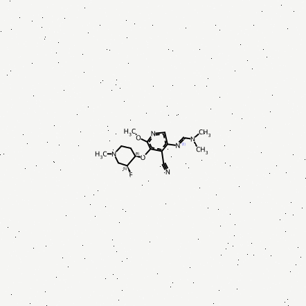 COc1ncc(/N=C/N(C)C)c(C#N)c1O[C@@H]1CCN(C)C[C@@H]1F